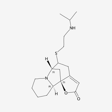 CC(C)NCCSC1CC2=CC(=O)O[C@@]23C[C@@H]1N1CCCC[C@@H]13